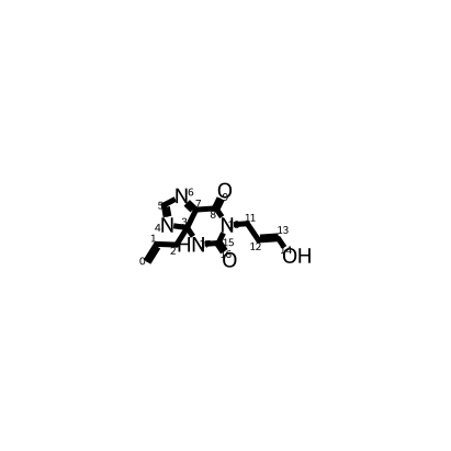 C=CCC12N=CN=C1C(=O)N(CC=CO)C(=O)N2